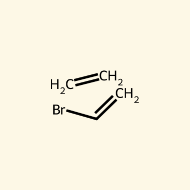 C=C.C=CBr